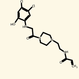 C=CC(=O)NCCN1CCN(C(=O)CNc2cc(Cl)c(Cl)cc2O)CC1